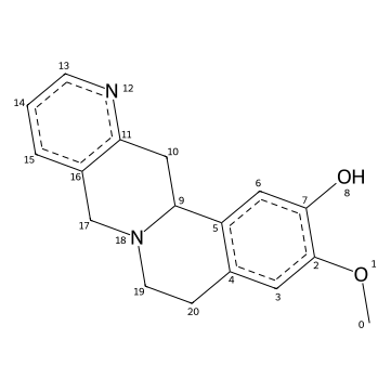 COc1cc2c(cc1O)C1Cc3ncccc3CN1CC2